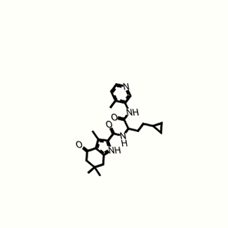 Cc1ccncc1NC(=O)C(CCC1CC1)NC(=O)c1[nH]c2c(c1C)C(=O)CC(C)(C)C2